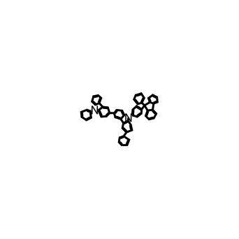 c1ccc(-c2ccc3c(c2)c2cc(-c4ccc5c(c4)c4ccccc4n5-c4ccccc4)ccc2n3-c2ccc(C3(c4ccccc4)c4ccccc4-c4ccccc43)cc2)cc1